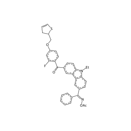 CCn1c2ccc(C(=O)c3ccc(OCC4CC=CS4)cc3F)cc2c2cc(/C(=N/OC(C)=O)c3ccccc3)ccc21